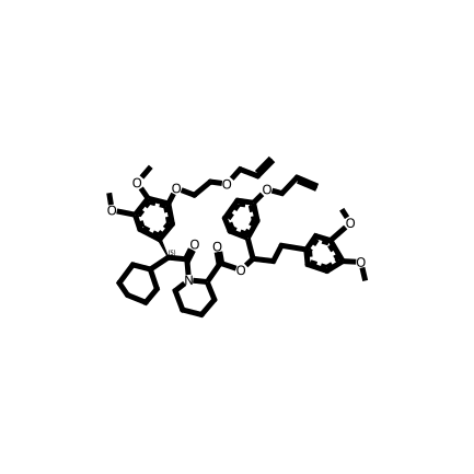 C=CCOCCOc1cc([C@@H](C(=O)N2CCCCC2C(=O)OC(CCc2ccc(OC)c(OC)c2)c2cccc(OCC=C)c2)C2CCCCC2)cc(OC)c1OC